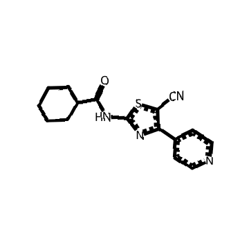 N#Cc1sc(NC(=O)C2CCCCC2)nc1-c1ccncc1